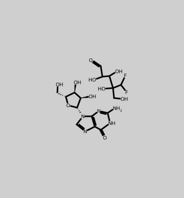 Nc1nc2c(ncn2[C@@H]2O[C@H](CO)[C@@H](O)[C@H]2O)c(=O)[nH]1.O=CC(O)C(O)C(O)(CO)C(F)F